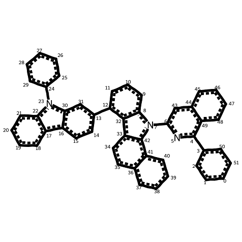 c1ccc(-c2nc(-n3c4cccc(-c5ccc6c7ccccc7n(-c7ccccc7)c6c5)c4c4ccc5ccccc5c43)cc3ccccc23)cc1